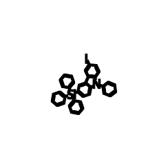 Ic1ccc2c(c1)c1cc([Si](c3ccccc3)(c3ccccc3)c3ccccc3)ccc1n2-c1ccccc1